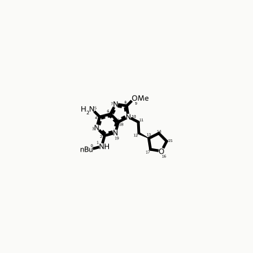 CCCCNc1nc(N)c2nc(OC)n(CC[C@H]3CCOC3)c2n1